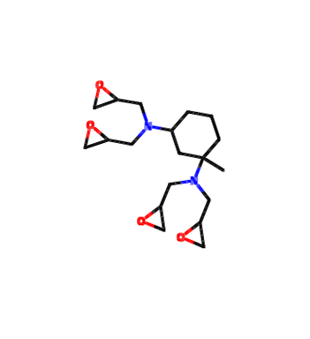 CC1(N(CC2CO2)CC2CO2)CCCC(N(CC2CO2)CC2CO2)C1